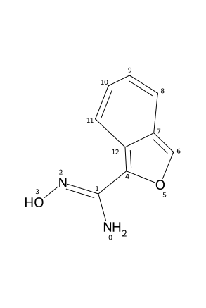 NC(=NO)c1occ2ccccc12